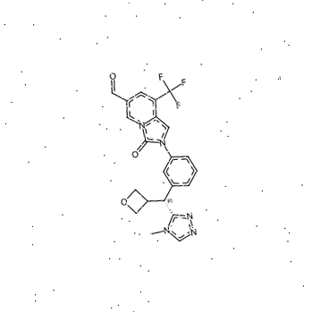 Cn1cnnc1[C@@H](c1cccc(-n2cc3c(C(F)(F)F)cc(C=O)cn3c2=O)c1)C1COC1